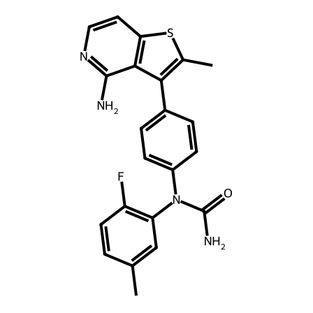 Cc1ccc(F)c(N(C(N)=O)c2ccc(-c3c(C)sc4ccnc(N)c34)cc2)c1